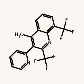 Cc1c(-c2ccccn2)c(C(F)(F)F)nc2c(C(F)(F)F)cccc12